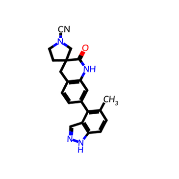 Cc1ccc2[nH]ncc2c1-c1ccc2c(c1)NC(=O)C1(CCN(C#N)C1)C2